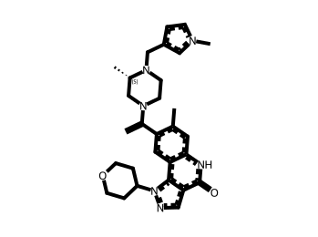 C=C(c1cc2c(cc1C)[nH]c(=O)c1cnn(C3CCOCC3)c12)N1CCN(Cc2ccn(C)c2)[C@@H](C)C1